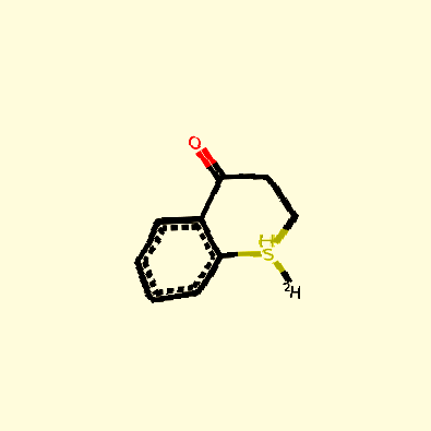 [2H][SH]1CCC(=O)c2ccccc21